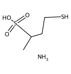 CC(CCS)S(=O)(=O)O.N